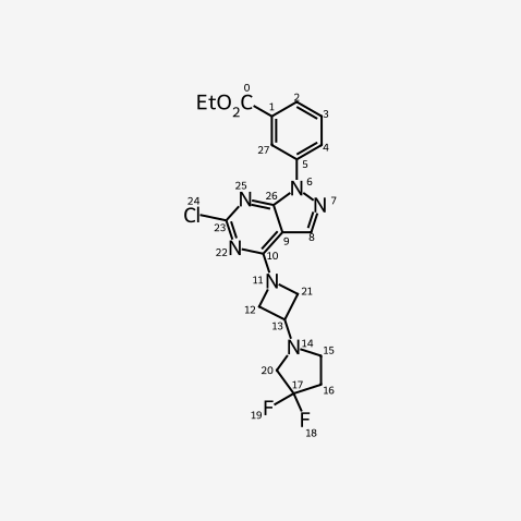 CCOC(=O)c1cccc(-n2ncc3c(N4CC(N5CCC(F)(F)C5)C4)nc(Cl)nc32)c1